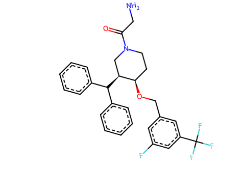 NCC(=O)N1CC[C@@H](OCc2cc(F)cc(C(F)(F)F)c2)[C@@H](C(c2ccccc2)c2ccccc2)C1